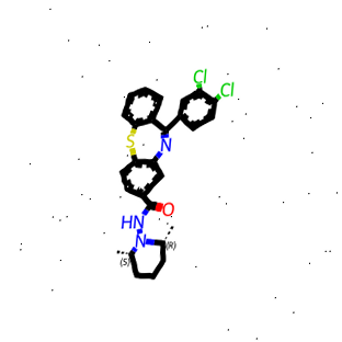 C[C@@H]1CCC[C@H](C)N1NC(=O)c1ccc2c(c1)N=C(c1ccc(Cl)c(Cl)c1)c1ccccc1S2